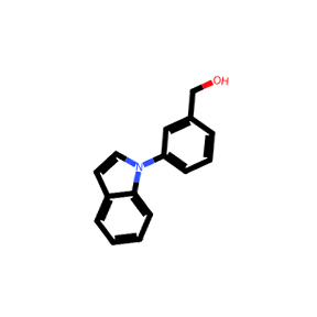 OCc1cccc(-n2ccc3cc[c]cc32)c1